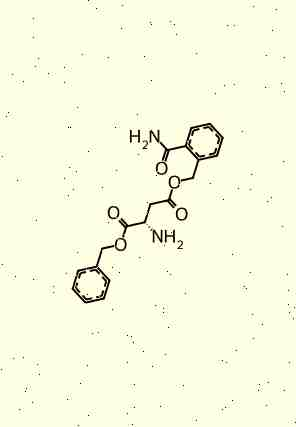 NC(=O)c1ccccc1COC(=O)C[C@H](N)C(=O)OCc1ccccc1